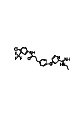 CCNC(=N)c1cc(Oc2ccc(CCC(=O)Nc3ccc(Cl)c(C(F)(F)F)c3)cc2)ccn1